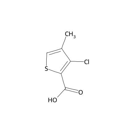 Cc1csc(C(=O)O)c1Cl